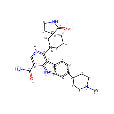 CC(C)N1CCC(c2ccc3c(c2)[nH]c2c(C(N)=O)cnc(N4CCC[C@@]5(CCNC5=O)C4)c23)CC1